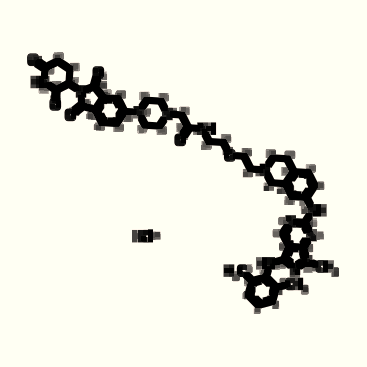 Cc1cccc(C)c1Nc1nn(C)c2nc(Nc3ccc4c(c3)CN(CCOCCNC(=O)CN3CCN(c5ccc6c(c5)C(=O)N(C5CCC(=O)NC5=O)C6=O)CC3)CC4)ncc12.Cl